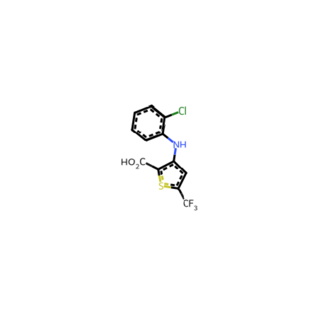 O=C(O)c1sc(C(F)(F)F)cc1Nc1ccccc1Cl